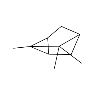 CC1(C)C2CC3C(C2)C31C